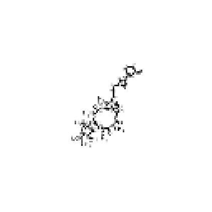 CC[C@H]1OC(=O)[C@H](C)C(=O)[C@H](C)[C@@H](O[C@@H]2O[C@H](C)CC(N(C)C)C2O)[C@](C)(OC)C[C@@H](C)C(=O)[C@H](C)[C@@H](NCC#CCn2cc(-c3cc(F)ccn3)nn2)[C@]1(C)O